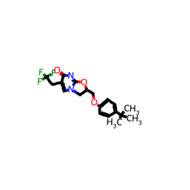 CC(C)(C)c1ccc(OCC2Cn3cc(CC(F)(F)F)c(=O)nc3O2)cc1